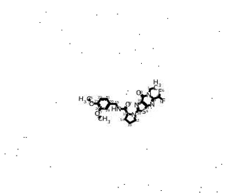 CCn1c(C(F)F)nc2sc(N3CCCC3C(=O)NCc3ccc(OC)c(OC)c3)nc2c1=O